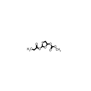 CCC(=O)OC1OC(OC(=O)OC)CS1